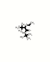 CCOC(C(=O)NC(C)(C)C)C(C)(C)C